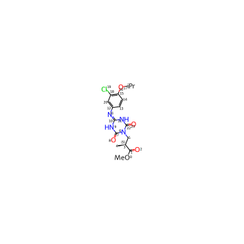 COC(=O)[C@@H](C)Cn1c(=O)[nH]c(=Nc2ccc(OC(C)C)c(Cl)c2)[nH]c1=O